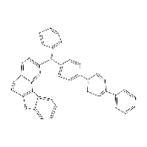 c1ccc(-c2ccc(-c3ccc(N(c4ccccc4)c4ccc5ccc6oc7ccccc7c6c5c4)cc3)cc2)cc1